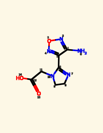 Nc1nonc1C1=NCCN1CC(=O)O